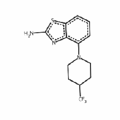 Nc1nc2c(N3CCC(C(F)(F)F)CC3)cccc2s1